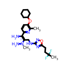 Cc1nc(/C(N)=C(\CNc2noc(CCC(C)(F)F)n2)N(C)N)ccc1OC1CCCCC1